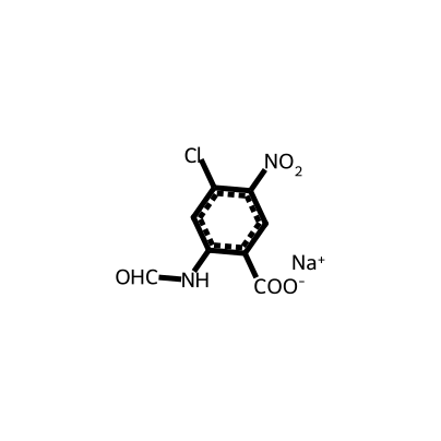 O=CNc1cc(Cl)c([N+](=O)[O-])cc1C(=O)[O-].[Na+]